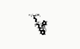 CN(C)CCCNC(=O)CCC(Cc1ccccc1)NC(=O)C1(N)CCCC1